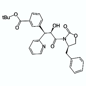 CC(C)(C)OC(=O)c1cccc([C@H](c2ccccn2)[C@@H](O)C(=O)N2C(=O)OC[C@H]2Cc2ccccc2)c1